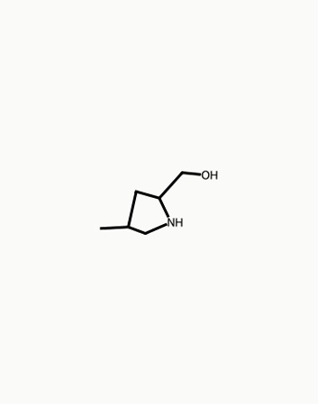 CC1CNC(CO)C1